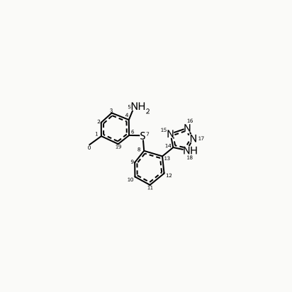 Cc1ccc(N)c(Sc2ccccc2-c2nnn[nH]2)c1